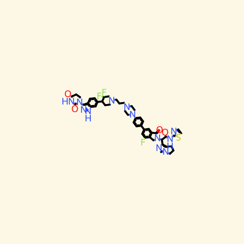 O=C1CCN(c2n[nH]c3cc(C4CCN(CCCN5CCN(c6ccc(-c7cc(F)c8c(c7)C(=O)N(C(C(=O)Nc7nccs7)c7ncn9c7CCC9)C8)cc6)CC5)CC4(F)F)ccc23)C(=O)N1